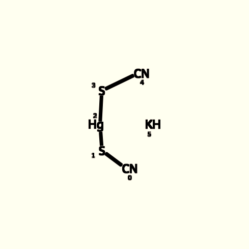 N#C[S][Hg][S]C#N.[KH]